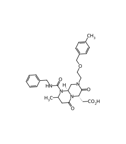 Cc1ccc(COCCN2C[C@@H]3N(C(=O)NCc4ccccc4)C(C)CC(=O)N3[C@@H](CC(=O)O)C2=O)cc1